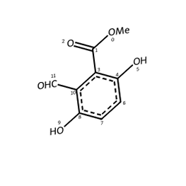 COC(=O)c1c(O)ccc(O)c1C=O